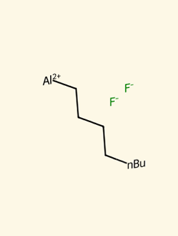 CCCCCCC[CH2][Al+2].[F-].[F-]